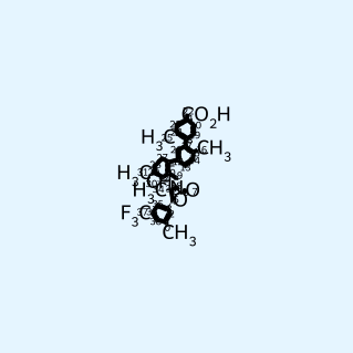 Cc1cc([C@H]2OC(=O)N(CC3=C(c4ccc(C)c(-c5ccc(C(=O)O)cc5C)c4)CCC(C)(C)C3)[C@H]2C)cc(C(F)(F)F)c1